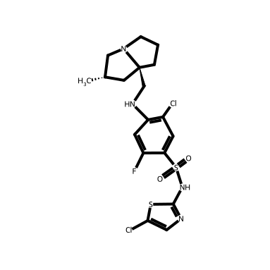 C[C@@H]1CN2CCC[C@]2(CNc2cc(F)c(S(=O)(=O)Nc3ncc(Cl)s3)cc2Cl)C1